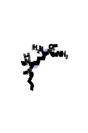 CCCCN(C)/C(=C/CC/C(N)=[N+](\CN)OC)NC